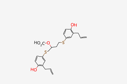 C=CCc1cc(SCCC(CSc2ccc(O)c(CC=C)c2)OC(=O)O)ccc1O